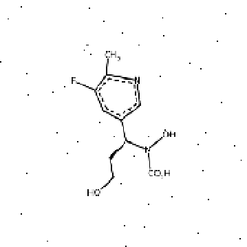 Cc1ncc([C@H](CCO)N(O)C(=O)O)cc1F